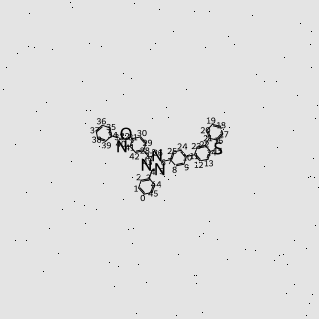 c1ccc(-c2nc(-c3ccc(-c4ccc5sc6ccccc6c5c4)cc3)nc(-c3ccc4oc(-c5ccccc5)nc4c3)n2)cc1